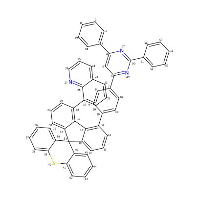 c1ccc(-c2cc(-c3ccc(-c4cccc5c4-c4c(-c6cccc7cccnc67)cccc4C54c5ccccc5Sc5ccccc54)cc3)nc(-c3ccccc3)n2)cc1